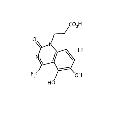 I.O=C(O)CCn1c(=O)nc(C(F)(F)F)c2c(O)c(O)ccc21